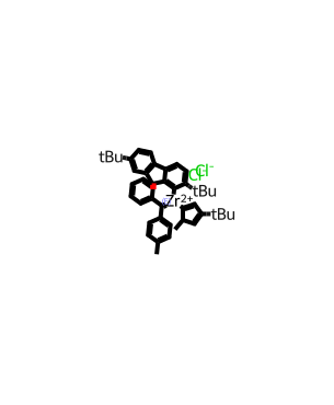 Cc1ccc(/[C](c2ccccc2)=[Zr+2](\[C]2=CC(C(C)(C)C)=CC2C)[c]2c(C(C)(C)C)ccc3c2Cc2cc(C(C)(C)C)ccc2-3)cc1.[Cl-].[Cl-]